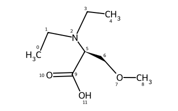 CCN(CC)[C@@H](COC)C(=O)O